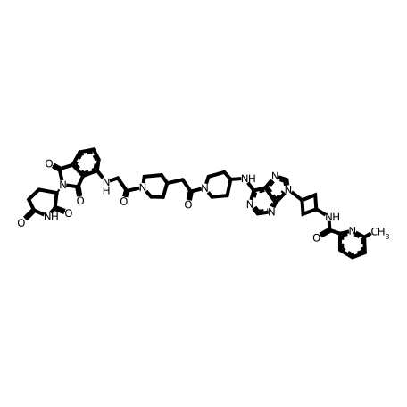 Cc1cccc(C(=O)NC2CC(n3cnc4c(NC5CCN(C(=O)CC6CCN(C(=O)CNc7cccc8c7C(=O)N([C@H]7CCC(=O)NC7=O)C8=O)CC6)CC5)ncnc43)C2)n1